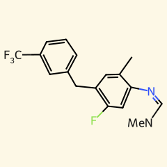 CN/C=N\c1cc(F)c(Cc2cccc(C(F)(F)F)c2)cc1C